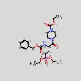 CCOC(=O)N1CCN(C(=O)[C@H](CCP(=O)(OCC)OCC)NC(=O)OCc2ccccc2)CC1